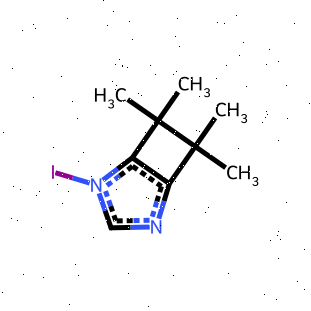 CC1(C)c2ncn(I)c2C1(C)C